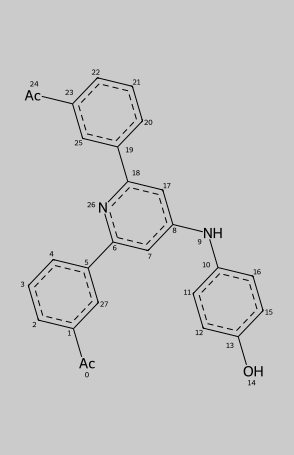 CC(=O)c1cccc(-c2cc(Nc3ccc(O)cc3)cc(-c3cccc(C(C)=O)c3)n2)c1